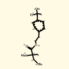 CCC(C)(O)c1ccc(CCOC(=O)C(C)(CC(C)(C)C)NC)cc1